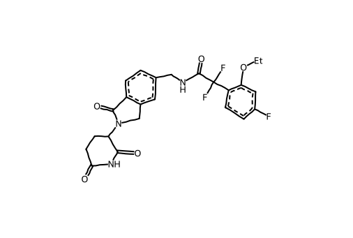 CCOc1cc(F)ccc1C(F)(F)C(=O)NCc1ccc2c(c1)CN(C1CCC(=O)NC1=O)C2=O